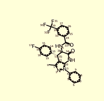 Cc1nn(-c2ccccc2)c2c1[C@H](c1ccc(F)cc1)[C@@H](NC(=O)c1cccc(C(F)(F)F)c1)C(=O)N2